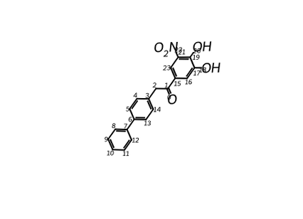 O=C(Cc1ccc(-c2ccccc2)cc1)c1cc(O)c(O)c([N+](=O)[O-])c1